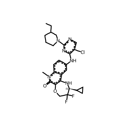 CCC1CCCN(c2ncc(Cl)c(Nc3ccc4c(c3)c3c(c(=O)n4C)OCC(F)(F)[C@H](C4CC4)N3)n2)C1